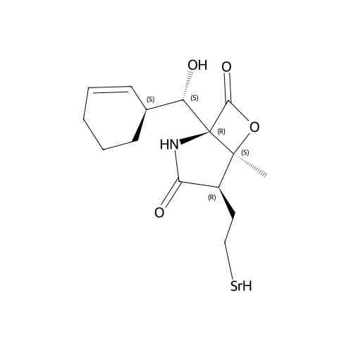 C[C@@]12OC(=O)[C@]1([C@@H](O)[C@@H]1C=CCCC1)NC(=O)[C@@H]2C[CH2][SrH]